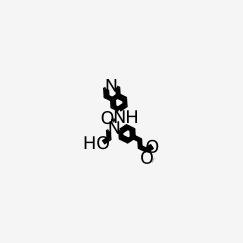 COC(=O)CCc1ccc(N(CCO)C(=O)Nc2ccc3cnccc3c2)cc1